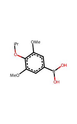 COc1cc(B(O)O)cc(OC)c1OC(C)C